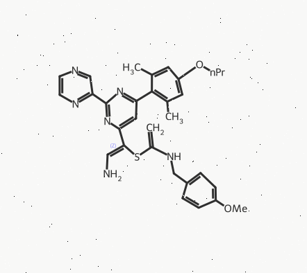 C=C(NCc1ccc(OC)cc1)S/C(=C\N)c1cc(-c2c(C)cc(OCCC)cc2C)nc(-c2cnccn2)n1